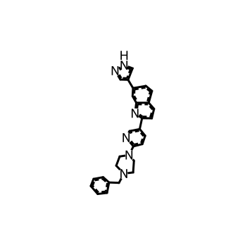 c1ccc(CN2CCN(c3ccc(-c4ccc5ccc(-c6cn[nH]c6)cc5n4)cn3)CC2)cc1